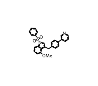 COc1cccc2c1c(Cc1ccc(-c3cccnc3)cc1)cn2S(=O)(=O)c1ccccc1